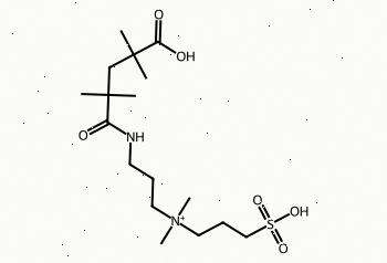 CC(C)(CC(C)(C)C(=O)NCCC[N+](C)(C)CCCS(=O)(=O)O)C(=O)O